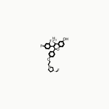 CC1=C(c2ccc(F)cc2F)C(c2ccc(OCCN3CC[C@@H](CF)C3)cc2)Oc2ccc(O)cc21